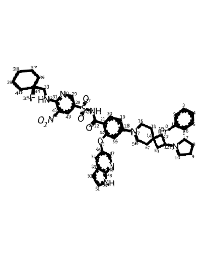 CC(C)c1ccccc1[C@@H]1CCCN1C1CC2(CCN(c3ccc(C(=O)NS(=O)(=O)c4cnc(NCC5(F)CCCCC5)c([N+](=O)[O-])c4)c(Oc4cnc5[nH]ccc5c4)c3)CC2)C1